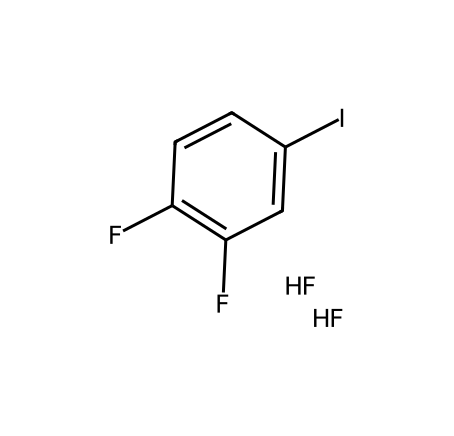 F.F.Fc1ccc(I)cc1F